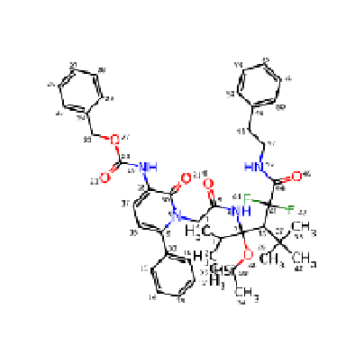 CC(C)C(NC(=O)Cn1c(-c2ccccc2)ccc(NC(=O)OCc2ccccc2)c1=O)(O[SiH](C)C)C(C(C)(C)C)C(F)(F)C(=O)NCCc1ccccc1